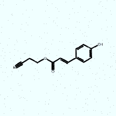 N#CCCOC(=O)/C=C/c1ccc(O)cc1